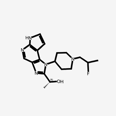 CC(F)CN1CCC(n2c([C@@H](C)O)nc3cnc4[nH]ccc4c32)CC1